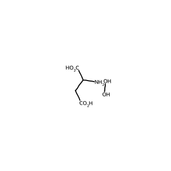 NC(CC(=O)O)C(=O)O.OO